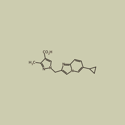 Cc1nn(Cc2cn3cc(C4CC4)ccc3n2)cc1C(=O)O